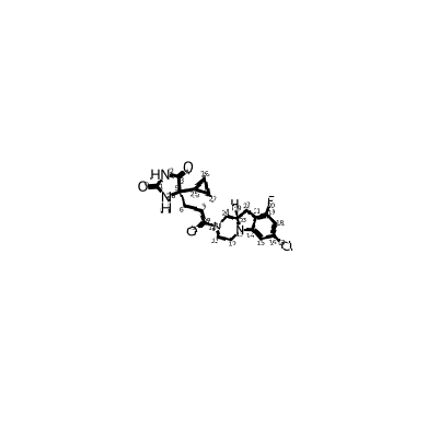 O=C1NC(=O)[C@](CCC(=O)N2CCN3c4cc(Cl)cc(F)c4C[C@H]3C2)(C2CC2)N1